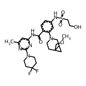 COCC12CCN(c3cc(NS(=O)(=O)CCO)ccc3C(=O)Nc3cc(C)nc(N4CCC(F)(F)CC4)n3)CC1C2